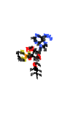 CC(C)(C)[Si](C)(C)OC[C@H]1O[C@@H](n2cnc3c(N)ncnc32)[C@H](O)[C@@H]1OP1(=S)SCCS1